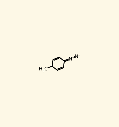 CC1C=CC(=[N+]=[N-])C=C1